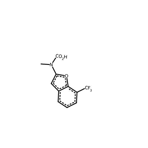 CN(C(=O)O)c1cc2cccc(C(F)(F)F)c2o1